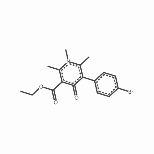 CCOC(=O)c1c(C)n(C)c(C)c(-c2ccc(Br)cc2)c1=O